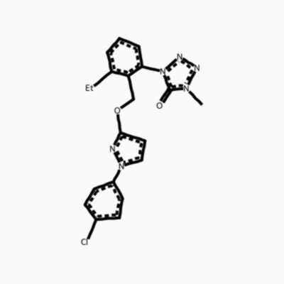 CCc1cccc(-n2nnn(C)c2=O)c1COc1ccn(-c2ccc(Cl)cc2)n1